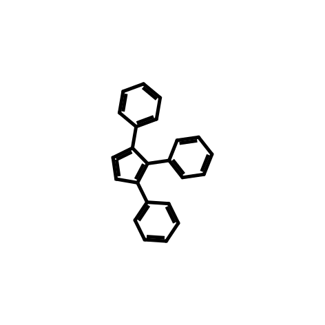 C1=CC(c2ccccc2)=C(c2ccccc2)C=1c1ccccc1